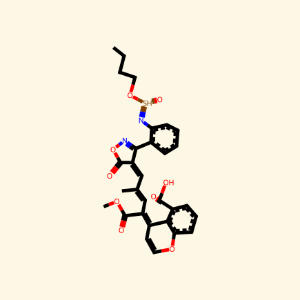 CCCCO[SH](=O)=Nc1ccccc1C1=NOC(=O)\C1=C/C(C)=C/C(C(=O)OC)=C1/C=COc2cccc(C(=O)O)c21